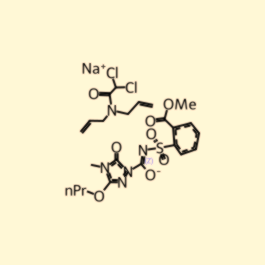 C=CCN(CC=C)C(=O)C(Cl)Cl.CCCOc1nn(/C([O-])=N/S(=O)(=O)c2ccccc2C(=O)OC)c(=O)n1C.[Na+]